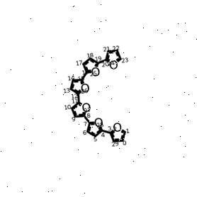 c1coc(-c2ccc(-c3ccc(-c4ccc(-c5ccc(-c6ccco6)o5)o4)o3)o2)c1